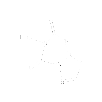 Cn1c(=O)nc2scnn2c1=O